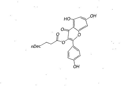 CCCCCCCCCCCCC(=O)Oc1c(-c2ccc(O)cc2)oc2cc(O)cc(O)c2c1=O